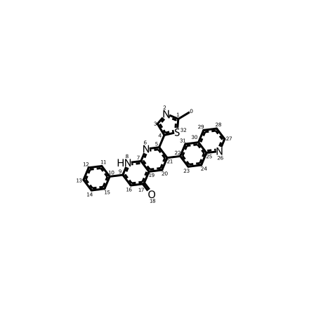 Cc1ncc(-c2nc3[nH]c(-c4ccccc4)cc(=O)c3cc2-c2ccc3ncccc3c2)s1